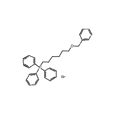 [Br-].c1ccc(COCCCCCC[P+](c2ccccc2)(c2ccccc2)c2ccccc2)cc1